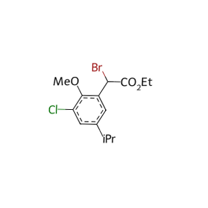 CCOC(=O)C(Br)c1cc(C(C)C)cc(Cl)c1OC